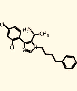 CC(N)c1c(-c2ccc(Cl)cc2Cl)ncn1CCCCc1ccccc1